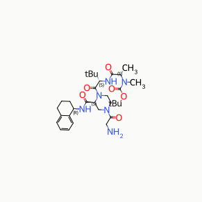 C[C@@H](C(=O)N[C@H](C(=O)N1CCN(C(=O)CN)C[C@H]1C(=O)N[C@@H]1CCCc2ccccc21)C(C)(C)C)N(C)C(=O)OC(C)(C)C